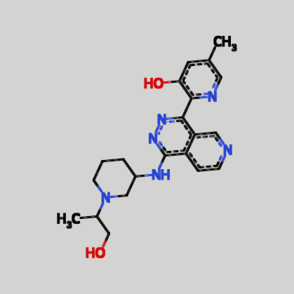 Cc1cnc(-c2nnc(NC3CCCN(C(C)CO)C3)c3ccncc23)c(O)c1